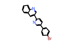 Brc1ccc(-c2ccc(-c3cnc4ccccc4c3)nc2)cc1